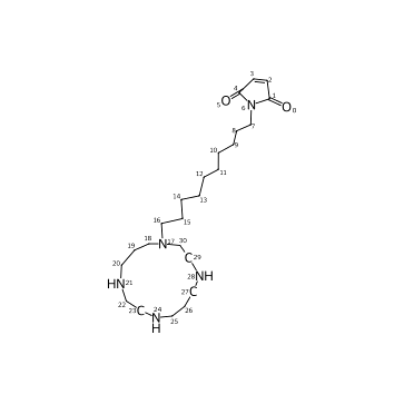 O=C1C=CC(=O)N1CCCCCCCCCCN1CCCNCCNCCCNCC1